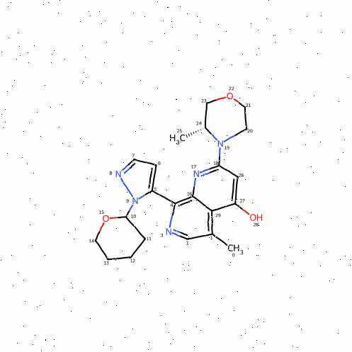 Cc1cnc(-c2ccnn2C2CCCCO2)c2nc(N3CCOC[C@H]3C)cc(O)c12